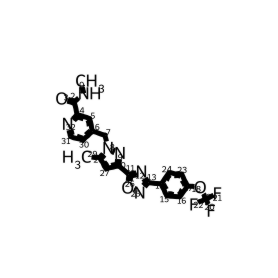 CNC(=O)c1cc(Cn2nc(-c3nc(-c4ccc(OC(F)(F)F)cc4)no3)cc2C)ccn1